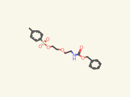 Cc1ccc(S(=O)(=O)OCCOCCNC(=O)OCc2ccccc2)cc1